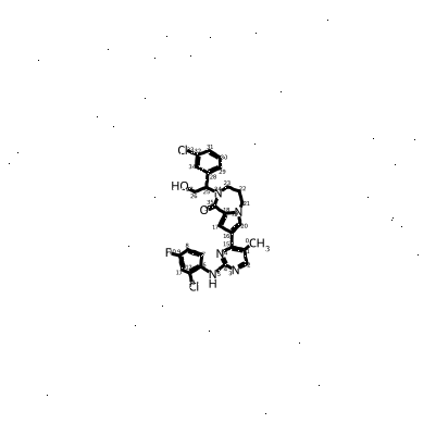 Cc1cnc(Nc2ccc(F)cc2Cl)nc1-c1cc2n(c1)CCCN(C(CO)c1cccc(Cl)c1)C2=O